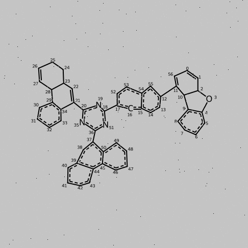 C1=CC2Oc3ccccc3C2C(c2ccc3cc(-c4nc(C5=CC6CCC=CC6c6ccccc65)nc(-c5cc6ccccc6c6ccccc56)n4)ccc3c2)=C1